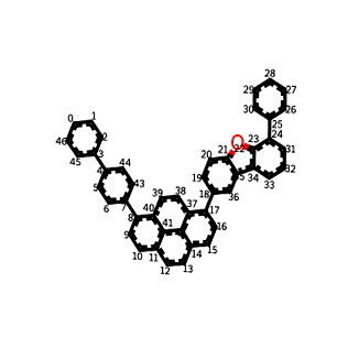 c1ccc(-c2ccc(-c3ccc4ccc5ccc(-c6ccc7oc8c(-c9ccccc9)cccc8c7c6)c6ccc3c4c56)cc2)cc1